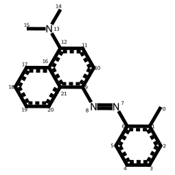 Cc1ccccc1/N=N/c1ccc(N(C)C)c2ccccc12